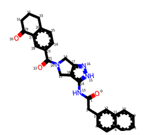 O=C(Cc1ccc2ccccc2c1)Nc1[nH]nc2c1CN(C(=O)c1ccc3c(c1)C(=O)CCC3)C2